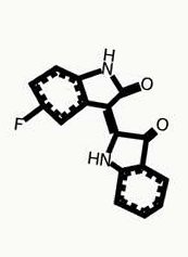 O=C1Nc2ccc(F)cc2C1=C1Nc2ccccc2C1=O